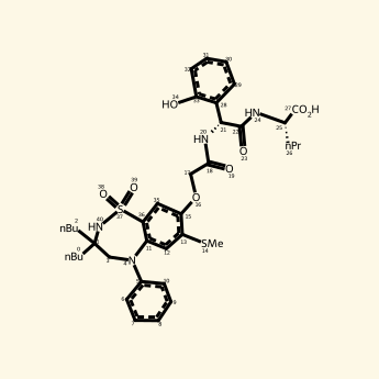 CCCCC1(CCCC)CN(c2ccccc2)c2cc(SC)c(OCC(=O)N[C@@H](C(=O)N[C@@H](CCC)C(=O)O)c3ccccc3O)cc2S(=O)(=O)N1